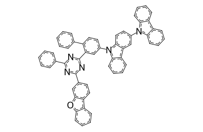 c1ccc(-c2nc(-c3ccc4c(c3)oc3ccccc34)nc(-c3cc(-n4c5ccccc5c5cc(-n6c7ccccc7c7ccccc76)ccc54)ccc3-c3ccccc3)n2)cc1